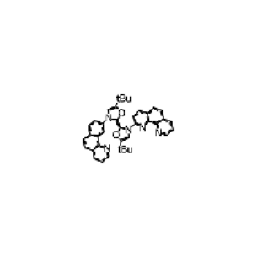 CC(C)(C)C1=CN(c2ccc3ccc4cccnc4c3c2)/C(=C2\OC(C(C)(C)C)=CN2c2ccc3ccc4cccnc4c3n2)O1